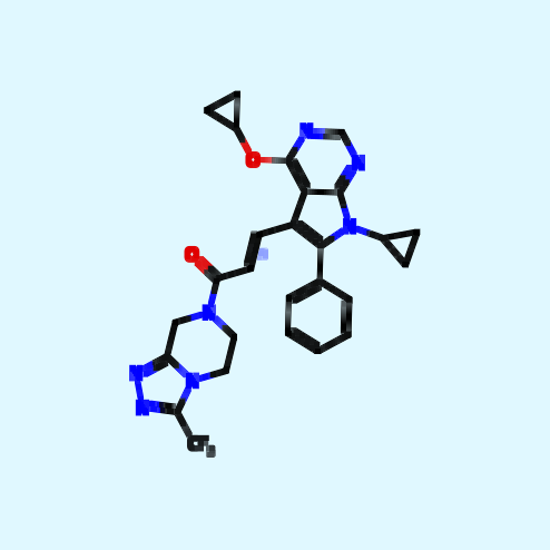 O=C(/C=C/c1c(-c2ccccc2)n(C2CC2)c2ncnc(OC3CC3)c12)N1CCn2c(nnc2C(F)(F)F)C1